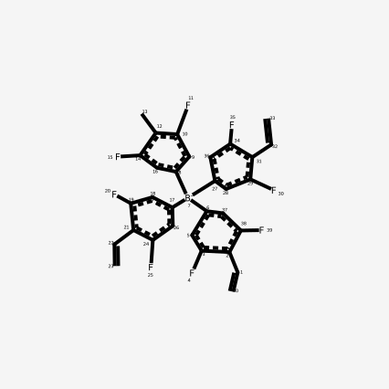 C=Cc1c(F)cc([B-](c2cc(F)c(C)c(F)c2)(c2cc(F)c(C=C)c(F)c2)c2cc(F)c(C=C)c(F)c2)cc1F